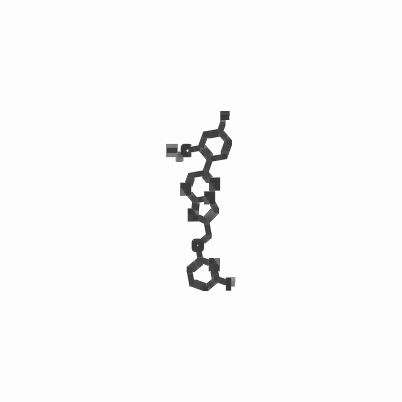 Cc1cc(F)ccc1-c1cnc2nc(COc3cccc(F)n3)cn2n1